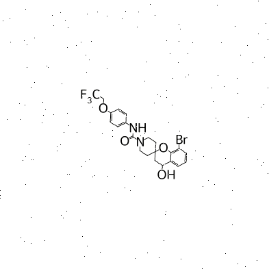 O=C(Nc1ccc(OCC(F)(F)F)cc1)N1CCC2(CC1)CC(O)c1cccc(Br)c1O2